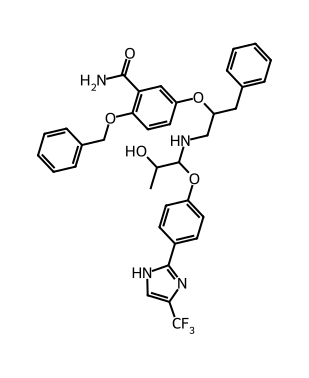 CC(O)C(NCC(Cc1ccccc1)Oc1ccc(OCc2ccccc2)c(C(N)=O)c1)Oc1ccc(-c2nc(C(F)(F)F)c[nH]2)cc1